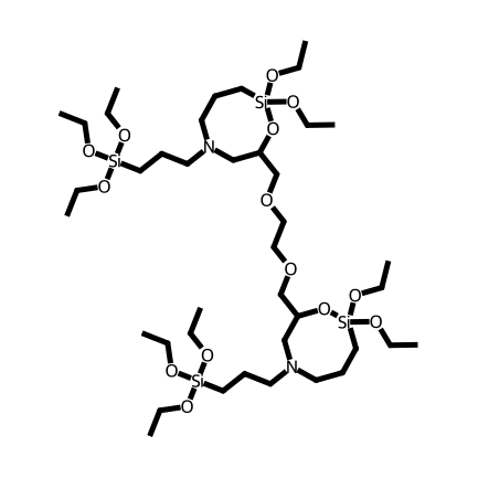 CCO[Si](CCCN1CCC[Si](OCC)(OCC)OC(COCCOCC2CN(CCC[Si](OCC)(OCC)OCC)CCC[Si](OCC)(OCC)O2)C1)(OCC)OCC